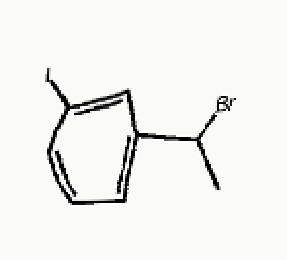 CC(Br)c1cccc(I)c1